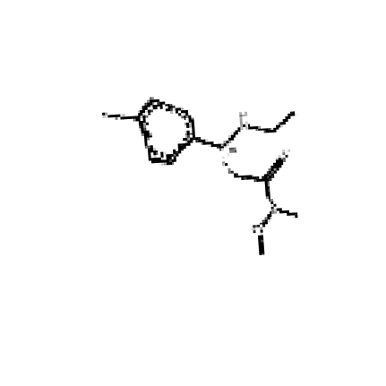 CCN[C@H](CC(=O)N(C)OC)c1ccc(F)cc1